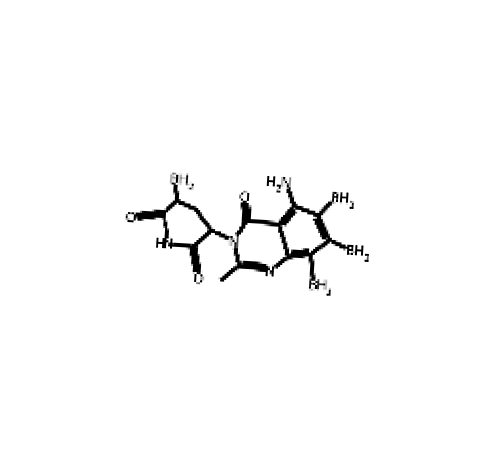 Bc1c(B)c(N)c2c(=O)n(C3CC(B)C(=O)NC3=O)c(C)nc2c1B